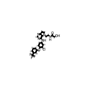 O=C(CO)NCCn1ccc2ncnc(Nc3ccc(Oc4cccc(C(F)(F)F)c4)c(Cl)c3)c21